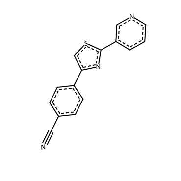 N#Cc1ccc(-c2csc(-c3cccnc3)n2)cc1